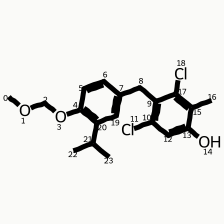 COCOc1ccc(Cc2c(Cl)cc(O)c(C)c2Cl)cc1C(C)C